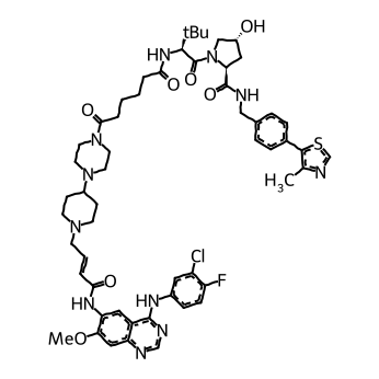 COc1cc2ncnc(Nc3ccc(F)c(Cl)c3)c2cc1NC(=O)/C=C/CN1CCC(N2CCN(C(=O)CCCCC(=O)N[C@H](C(=O)N3C[C@H](O)C[C@H]3C(=O)NCc3ccc(-c4scnc4C)cc3)C(C)(C)C)CC2)CC1